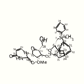 CO[C@H]1C(O[P@]2O[C@H](C[Si](C)(c3ccccc3)c3ccccc3)[C@@H]3CCCN32)[C@@H](CO)O[C@H]1n1ccc(=O)[nH]c1=O